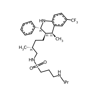 CC(C)NCCCS(=O)(=O)NC[C@H](C)CC[C@@H]1[C@H](C)c2cc(C(F)(F)F)ccc2N[C@H]1c1ccccc1